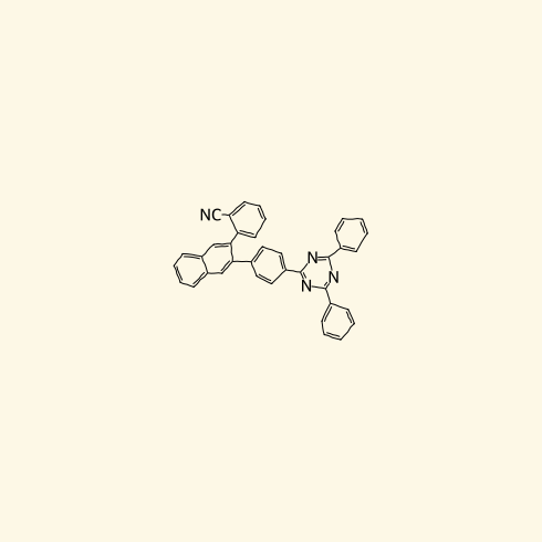 N#Cc1ccccc1-c1cc2ccccc2cc1-c1ccc(-c2nc(-c3ccccc3)nc(-c3ccccc3)n2)cc1